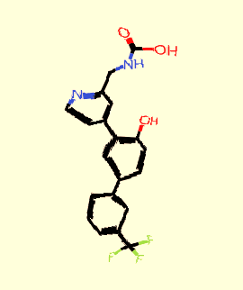 O=C(O)NCc1cc(-c2cc(-c3cccc(C(F)(F)F)c3)ccc2O)ccn1